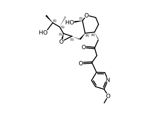 COc1ccc(C(=O)CC(=O)C[C@H]2CCO[C@H](O)[C@@H]2C[C@@H]2O[C@H]2[C@@H](C)[C@H](C)O)cn1